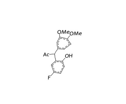 COc1ccc(C(C(C)=O)c2cc(F)ccc2O)cc1OC